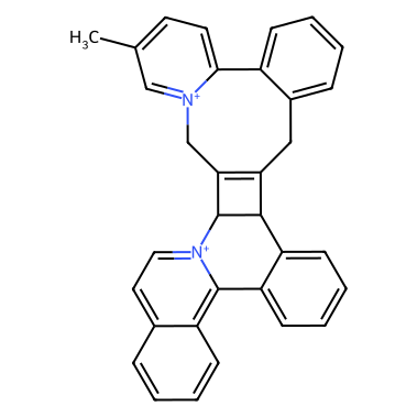 Cc1ccc2[n+](c1)CC1=C(Cc3ccccc3-2)C2c3ccccc3-c3c4ccccc4cc[n+]3C12